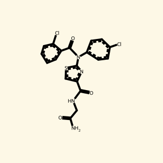 NC(=O)CNC(=O)c1csc(N(C(=O)c2ccccc2Cl)c2ccc(Cl)cc2)n1